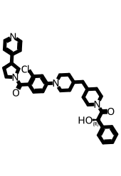 O=C(c1ccc(N2CCC(CC3CCN(C(=O)[C@H](O)c4ccccc4)CC3)CC2)cc1Cl)N1CCC(c2ccncc2)C1